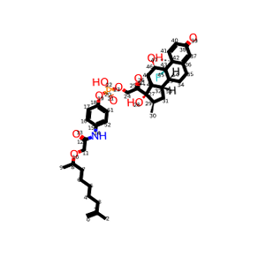 C=C(C)CCCCCC(C)OCC(=O)Nc1ccc(OP(=O)(O)OCC(=O)[C@@]2(O)[C@H](C)C[C@H]3[C@@H]4CCC5=CC(=O)C=C[C@]5(C)[C@@]4(F)[C@@H](O)C[C@@]32C)cc1